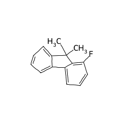 CC1(C)c2ccccc2-c2cccc(F)c21